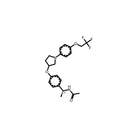 CC(=O)N[C@@H](C)c1ccc(OC2CCN(c3ccc(OCC(F)(F)F)cc3)C2)cc1